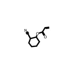 C=CC(=O)OC1CCCCC1C#N